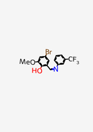 COc1cc(Br)cc(/C=N\c2cccc(C(F)(F)F)c2)c1O